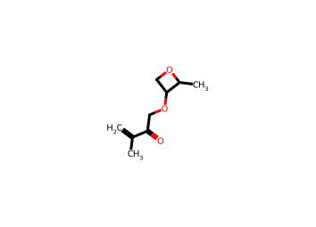 C=C(C)C(=O)COC1COC1C